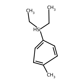 CC[SiH](CC)c1ccc(C)cc1